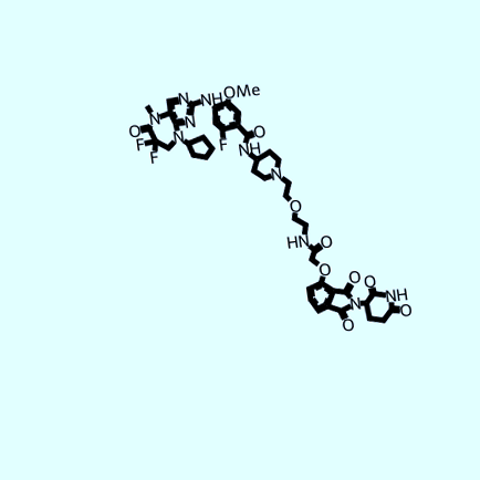 COc1cc(C(=O)NC2CCN(CCOCCNC(=O)COc3cccc4c3C(=O)N(C3CCC(=O)NC3=O)C4=O)CC2)c(F)cc1Nc1ncc2c(n1)N(C1CCCC1)CC(F)(F)C(=O)N2C